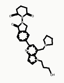 O=C1c2ccc(-c3cc(CN4CCCC4)c4c(ccn4CCCO)n3)cc2CN1N1C(=O)CCCC1=O